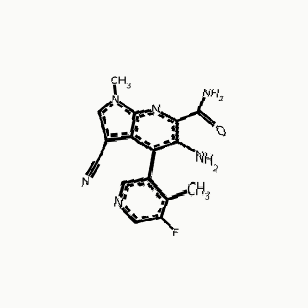 Cc1c(F)cncc1-c1c(N)c(C(N)=O)nc2c1c(C#N)cn2C